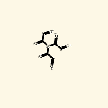 O=C[C](=O)[Al]([C](=O)C=O)[C](=O)C=O